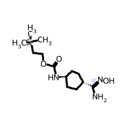 C[Si](C)(C)CCOC(=O)N[C@H]1CC[C@H](/C(N)=N/O)CC1